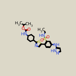 CCNS(=O)(=O)c1cc(Nc2ccn[nH]2)ccc1-c1cnc(C2CCC(NC(=O)OC(C)C)CC2)s1